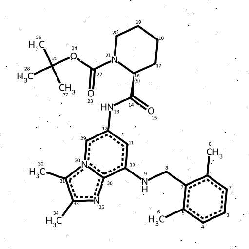 Cc1cccc(C)c1CNc1cc(NC(=O)[C@@H]2CCCCN2C(=O)OC(C)(C)C)cn2c(C)c(C)nc12